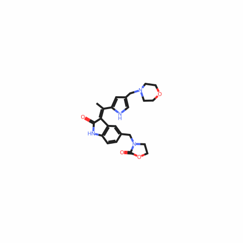 CC(=C1C(=O)Nc2ccc(CN3CCOC3=O)cc21)c1cc(CN2CCOCC2)c[nH]1